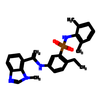 C=C(Nc1ccc(CC)c(S(=O)(=O)Nc2c(C)cccc2C)c1)c1cccc2ncn(C)c12